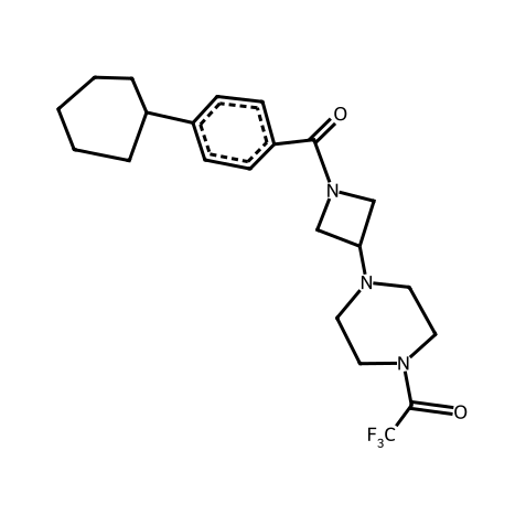 O=C(c1ccc(C2CCCCC2)cc1)N1CC(N2CCN(C(=O)C(F)(F)F)CC2)C1